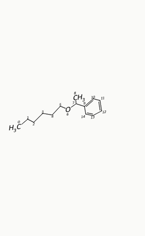 CCCCCCOC(C)c1ccccc1